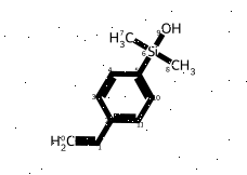 C=Cc1ccc([Si](C)(C)O)cc1